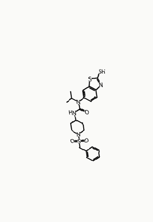 CC(C)N(C(=O)NC1CCN(S(=O)(=O)Cc2ccccc2)CC1)c1ccc2nc(S)sc2c1